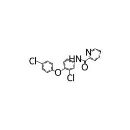 O=C(Nc1ccc(Oc2ccc(Cl)cc2)c(Cl)c1)c1ccccn1